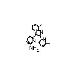 Cc1cccc(-c2nc3c(C)cccn3c2-c2ccnc(N)n2)n1